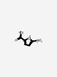 CCC(=O)c1ccc([N+](=O)[O-])o1